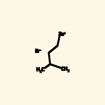 CC(C)C[CH2][Zn+].[Br-]